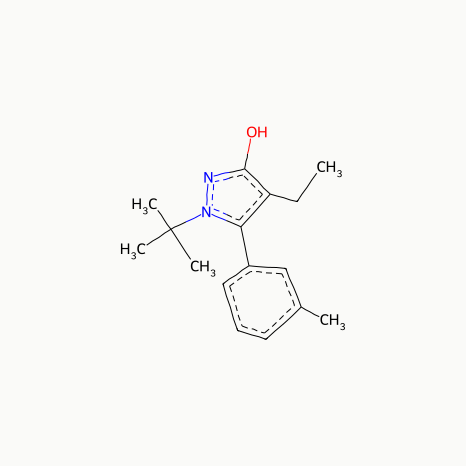 CCc1c(O)nn(C(C)(C)C)c1-c1cccc(C)c1